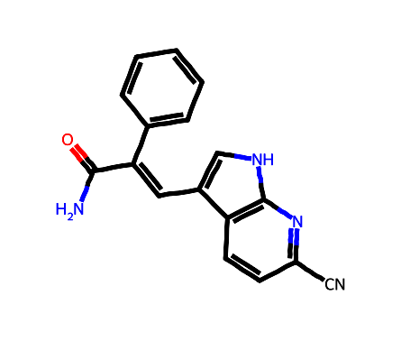 N#Cc1ccc2c(/C=C(/C(N)=O)c3ccccc3)c[nH]c2n1